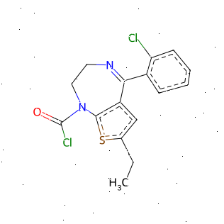 CCc1cc2c(s1)N(C(=O)Cl)CCN=C2c1ccccc1Cl